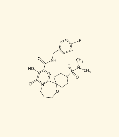 CN(C)S(=O)(=O)N1CCC2(CC1)OCCCn1c2nc(C(=O)NCc2ccc(F)cc2)c(O)c1=O